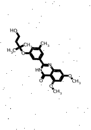 COc1cc(OC)c2c(=O)[nH]c(-c3cc(C)cc(OC(C)(C)CCO)c3)nc2c1